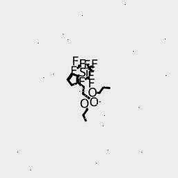 CCCOC([O])(CCC1=C([Si](C(F)(F)F)(C(F)(F)F)C(F)(F)F)C=CC1)OCCC